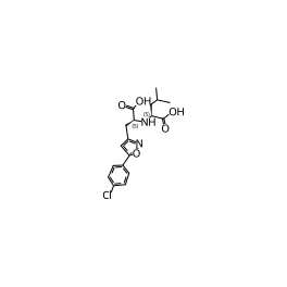 CC(C)C[C@H](N[C@@H](Cc1cc(-c2ccc(Cl)cc2)on1)C(=O)O)C(=O)O